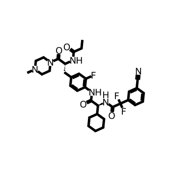 CCC(=O)N[C@H](Cc1ccc(NC(=O)[C@@H](NC(=O)C(F)(F)c2cccc(C#N)c2)C2CCCCC2)c(F)c1)C(=O)N1CCN(C)CC1